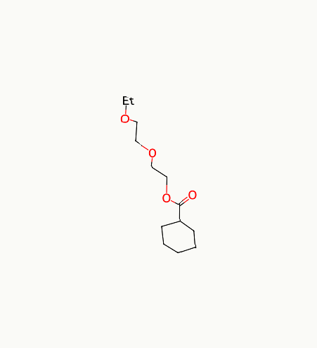 CCOCCOCCOC(=O)C1CCCCC1